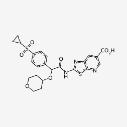 O=C(O)c1cnc2sc(NC(=O)C(OC3CCOCC3)c3ccc(S(=O)(=O)C4CC4)cc3)nc2c1